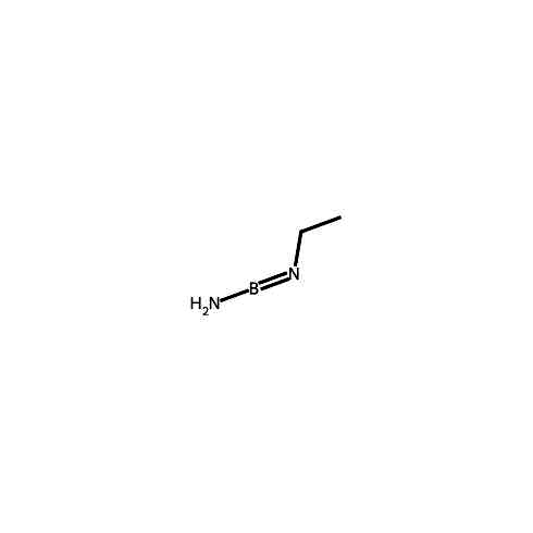 CCN=BN